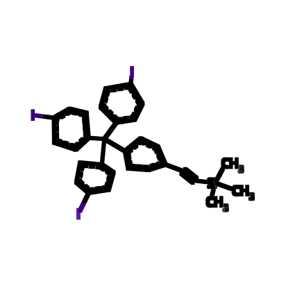 C[Si](C)(C)C#Cc1ccc(C(c2ccc(I)cc2)(c2ccc(I)cc2)c2ccc(I)cc2)cc1